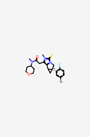 CN(C(=O)Cc1c2n(c(=S)n1C)C[C@@]1(c3cc(Br)ccc3F)CC21)C1CCOCC1